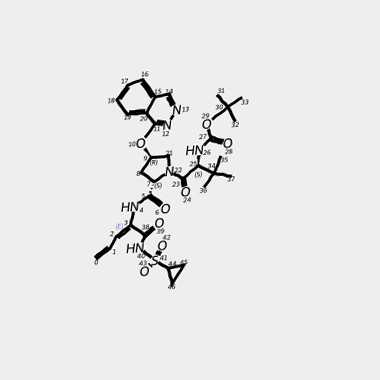 C=C/C=C(/NC(=O)[C@@H]1C[C@@H](Oc2nncc3ccccc23)CN1C(=O)[C@@H](NC(=O)OC(C)(C)C)C(C)(C)C)C(=O)NS(=O)(=O)C1CC1